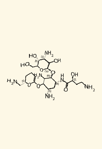 NCC[C@H](O)C(=O)N[C@@H]1C[C@H](N)C(OC2=CCC[C@@H](CN)O2)C(N)[C@H]1O[C@H]1OC(CO)[C@H](O)[C@H](N)C1O